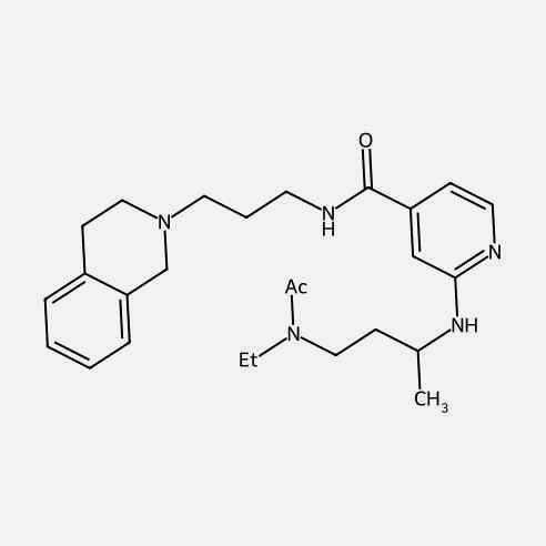 CCN(CCC(C)Nc1cc(C(=O)NCCCN2CCc3ccccc3C2)ccn1)C(C)=O